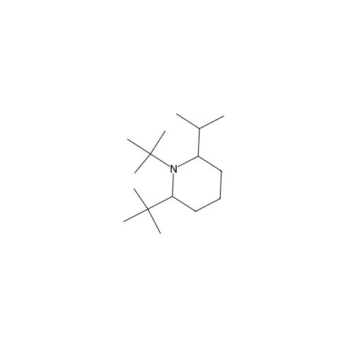 CC(C)C1CCCC(C(C)(C)C)N1C(C)(C)C